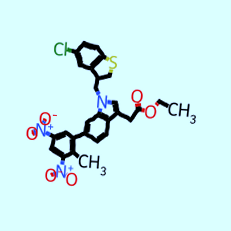 CCOC(=O)Cc1cn(CC2CSc3ccc(Cl)cc32)c2cc(-c3cc([N+](=O)[O-])cc([N+](=O)[O-])c3C)ccc12